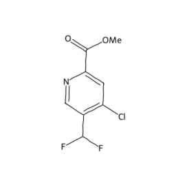 COC(=O)c1cc(Cl)c(C(F)F)cn1